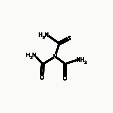 NC(=O)N(C(N)=O)C(N)=S